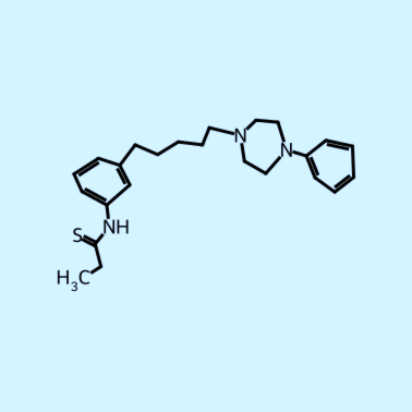 CCC(=S)Nc1cccc(CCCCCN2CCN(c3ccccc3)CC2)c1